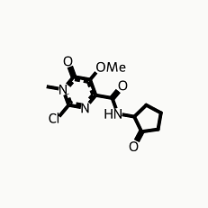 COc1c(C(=O)NC2CCCC2=O)nc(Cl)n(C)c1=O